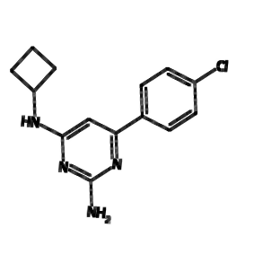 Nc1nc(NC2CCC2)cc(-c2ccc(Cl)cc2)n1